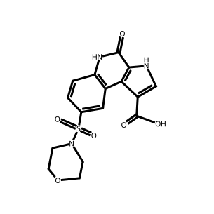 O=C(O)c1c[nH]c2c(=O)[nH]c3ccc(S(=O)(=O)N4CCOCC4)cc3c12